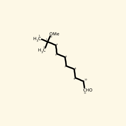 COC(C)(C)CCCCCCCC=O